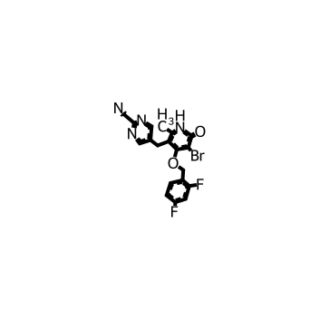 Cc1[nH]c(=O)c(Br)c(OCc2ccc(F)cc2F)c1Cc1cnc(C#N)nc1